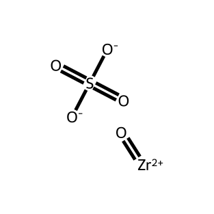 O=S(=O)([O-])[O-].[O]=[Zr+2]